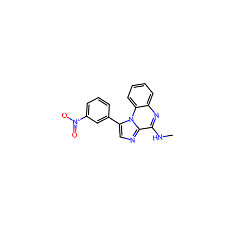 CNc1nc2ccccc2n2c(-c3cccc([N+](=O)[O-])c3)cnc12